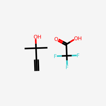 C#CC(C)(C)O.O=C(O)C(F)(F)F